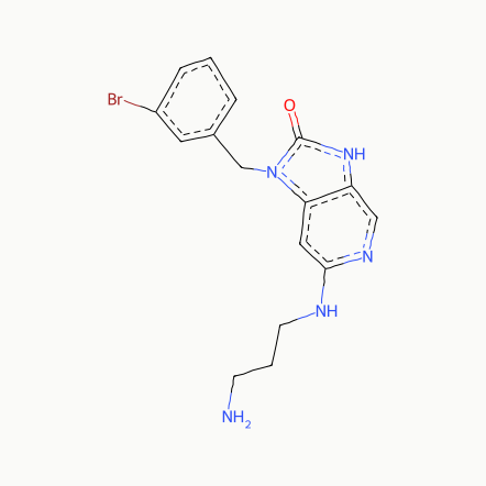 NCCCNc1cc2c(cn1)[nH]c(=O)n2Cc1cccc(Br)c1